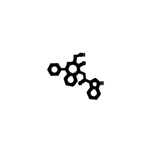 O=C(Cn1c(=O)c(=NO)nc(-c2ccccc2)c2ccccc21)c1c[nH]c2ccccc12